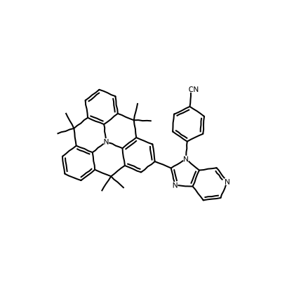 CC1(C)c2cccc3c2N2c4c1cccc4C(C)(C)c1cc(-c4nc5ccncc5n4-c4ccc(C#N)cc4)cc(c12)C3(C)C